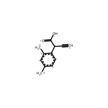 C#CC(C(=O)O)c1ccc(C)cc1C